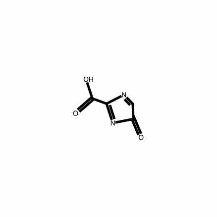 O=C1C=NC(C(=O)O)=N1